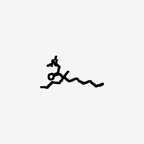 CCCCCCC(C)(CCCC)C(=O)CN(C)C